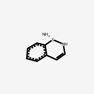 C1=Cc2ccccc2SN1.N